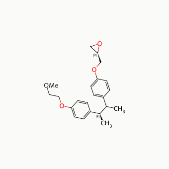 COCCOc1ccc([C@H](C)C(C)c2ccc(OC[C@H]3CO3)cc2)cc1